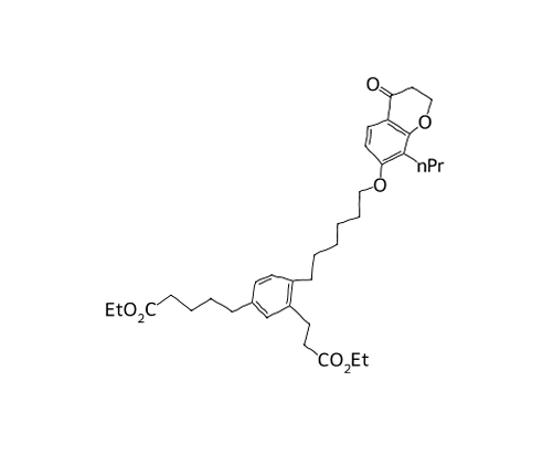 CCCc1c(OCCCCCCc2ccc(CCCCC(=O)OCC)cc2CCC(=O)OCC)ccc2c1OCCC2=O